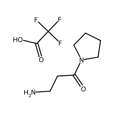 NCCC(=O)N1CCCC1.O=C(O)C(F)(F)F